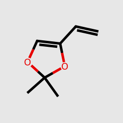 C=CC1=COC(C)(C)O1